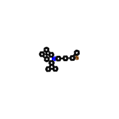 c1ccc2c(c1)-c1ccccc1C21c2ccccc2-c2ccc(N(c3ccc(-c4ccc(-c5ccc6sc7ccccc7c6c5)cc4)cc3)c3ccc4c5ccccc5c5ccccc5c4c3)cc21